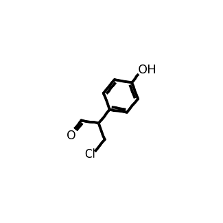 O=CC(CCl)c1ccc(O)cc1